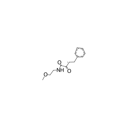 COCCNC(=O)C(=O)[CH]Cc1ccccc1